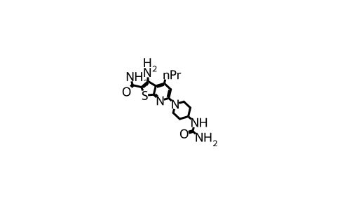 CCCc1cc(N2CCC(NC(N)=O)CC2)nc2sc(C(N)=O)c(N)c12